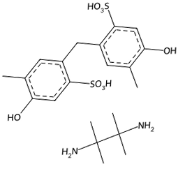 CC(C)(N)C(C)(C)N.Cc1cc(Cc2cc(C)c(O)cc2S(=O)(=O)O)c(S(=O)(=O)O)cc1O